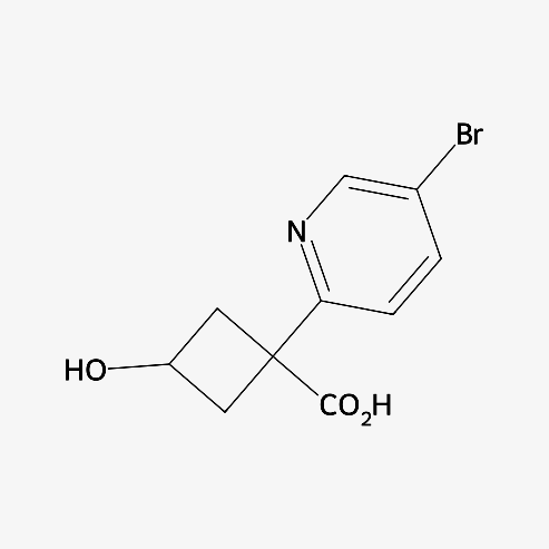 O=C(O)C1(c2ccc(Br)cn2)CC(O)C1